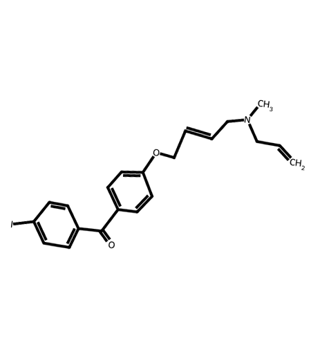 C=CCN(C)CC=CCOc1ccc(C(=O)c2ccc(I)cc2)cc1